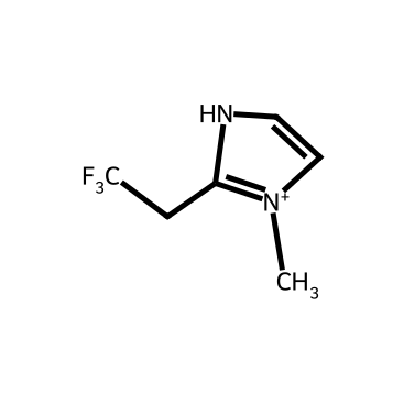 C[n+]1cc[nH]c1CC(F)(F)F